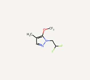 Cc1[c]nn(CC(F)F)c1OC(F)(F)F